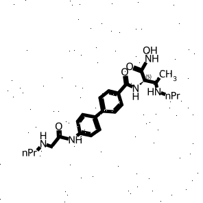 CCCNCC(=O)Nc1ccc(-c2ccc(C(=O)N[C@H](C(=O)NO)C(C)NCCC)cc2)cc1